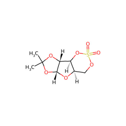 CC1(C)O[C@H]2O[C@@H]3COS(=O)(=O)O[C@@H]3[C@H]2O1